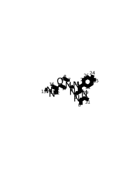 Cc1nc2nc(N3CCO[C@H](c4cnn(C)c4)C3)nc(C3CCC(C)(C)CC3)c2nc1C